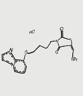 CCCC=C1SC(=O)N(CCCCOc2cccn3ccnc23)C1=O.Cl